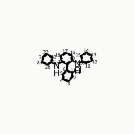 Clc1ccccc1-c1c(Nc2ccccc2)cccc1Nc1ccccc1